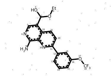 CCOC(O)c1cnc(N)c2nc(-c3cccc(OC(F)(F)F)c3)ccc12